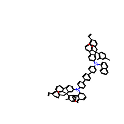 C=Cc1ccc(CC2(c3ccc(C)cc3C)c3ccccc3-c3ccc(N(c4ccc(-c5ccc(-c6ccc(N(c7ccc8c(c7)C(Cc7ccc(C=C)cc7)(c7ccc(C)cc7C)c7ccccc7-8)c7cccc8ccccc78)cc6)cc5)cc4)c4cccc5ccccc45)cc32)cc1